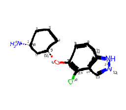 N[C@@H]1CCC[C@H](Oc2ccc3[nH]ncc3c2Cl)C1